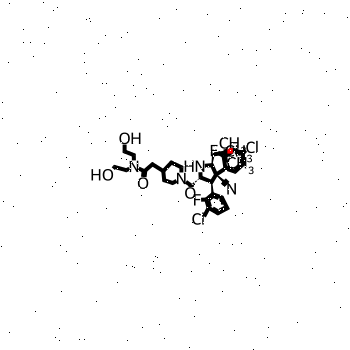 CC(C)(C)C[C@@H]1N[C@@H](C(=O)N2CCC(CC(=O)N(CCO)CCO)CC2)[C@H](c2cccc(Cl)c2F)[C@@]1(C#N)c1ccc(Cl)cc1F